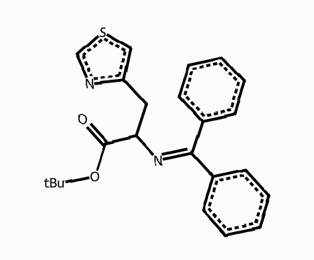 CC(C)(C)OC(=O)C(Cc1cscn1)N=C(c1ccccc1)c1ccccc1